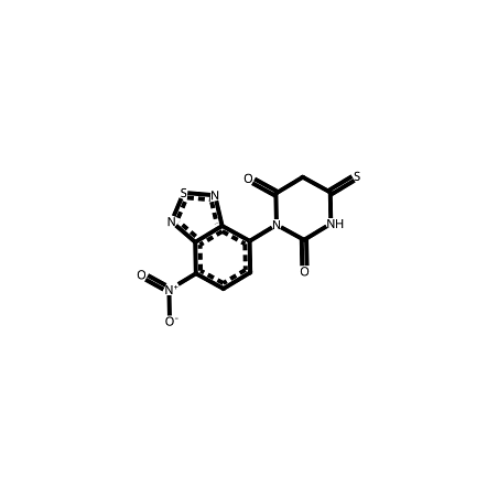 O=C1CC(=S)NC(=O)N1c1ccc([N+](=O)[O-])c2nsnc12